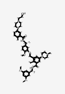 COc1cc(OC)cc([C@@H](C)NC(=O)c2cc(N3CCN(C)CC3)cc(COc3cc([C@@H](C)NC(=O)c4cc(N5CCN(CCO)CC5)ccc4C)ccc3OC)c2C)c1